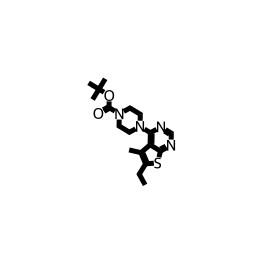 CCc1sc2ncnc(N3CCN(C(=O)OC(C)(C)C)CC3)c2c1C